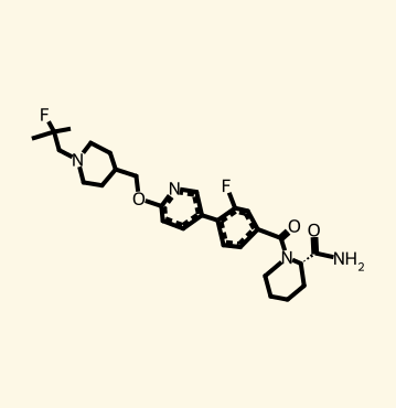 CC(C)(F)CN1CCC(COc2ccc(-c3ccc(C(=O)N4CCCC[C@H]4C(N)=O)cc3F)cn2)CC1